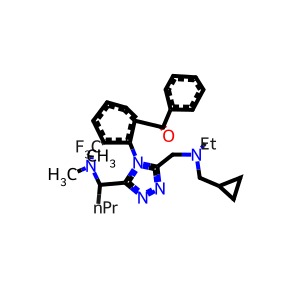 CCCC(c1nnc(CN(CC)CC2CC2)n1-c1c(C(=O)c2ccccc2)cccc1C(F)(F)F)N(C)C